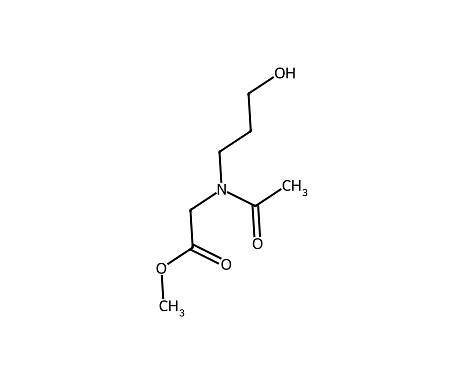 COC(=O)CN(CCCO)C(C)=O